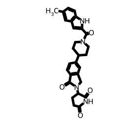 Cc1ccc2[nH]c(C(=O)N3CCC(c4ccc5c(c4)CN(C4CCC(=O)NC4=O)C5=O)CC3)cc2c1